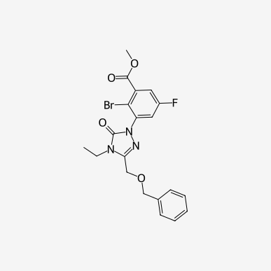 CCn1c(COCc2ccccc2)nn(-c2cc(F)cc(C(=O)OC)c2Br)c1=O